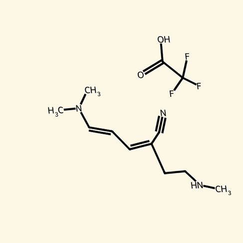 CNCCC(C#N)=CC=CN(C)C.O=C(O)C(F)(F)F